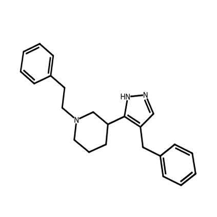 c1ccc(CCN2CCCC(c3[nH]ncc3Cc3ccccc3)C2)cc1